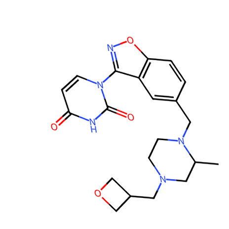 CC1CN(CC2COC2)CCN1Cc1ccc2onc(-n3ccc(=O)[nH]c3=O)c2c1